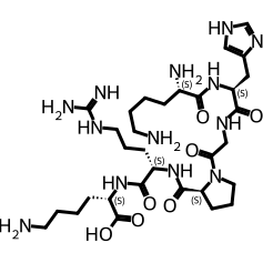 N=C(N)NCCC[C@H](NC(=O)[C@@H]1CCCN1C(=O)CNC(=O)[C@H](Cc1c[nH]cn1)NC(=O)[C@@H](N)CCCCN)C(=O)N[C@@H](CCCCN)C(=O)O